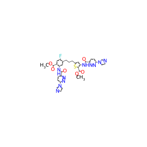 COC(=O)c1cc(F)c(CCCc2cc(NC(=O)c3ccc(-n4ccnc4)nn3)c(C(=O)OC)s2)cc1NC(=O)c1ccc(-n2ccnc2)nn1